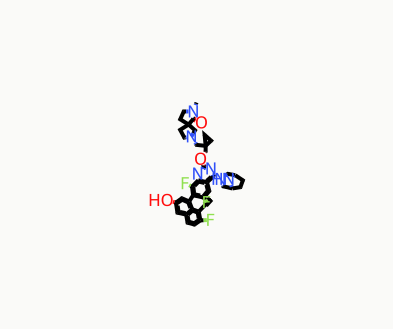 C#Cc1c(F)ccc2cc(O)cc(-c3c(F)cc4c(N5CC6CCC(C5)N6)nc(OCC5(CN6CCC7(CCN(C)C7=O)C6)CC5)nc4c3F)c12